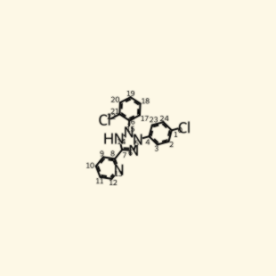 Clc1ccc(N2N=C(c3ccccn3)NN2c2ccccc2Cl)cc1